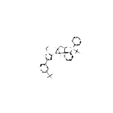 CCn1nc(-c2cncc(C(F)(F)F)c2)cc1[C@H]1[C@@H]2CC(O[Si](c3ccccc3)(c3ccccc3)C(C)(C)C)C[C@@H]21